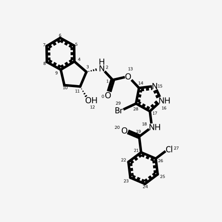 O=C(N[C@H]1c2ccccc2C[C@H]1O)Oc1n[nH]c(NC(=O)c2ccccc2Cl)c1Br